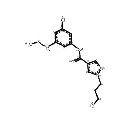 CSNc1cc(Cl)cc(NC(=O)c2cnn(CCCO)c2)c1